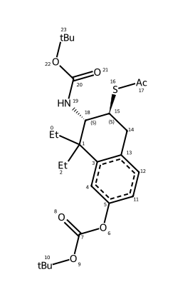 CCC1(CC)c2cc(OC(=O)OC(C)(C)C)ccc2C[C@H](SC(C)=O)[C@H]1NC(=O)OC(C)(C)C